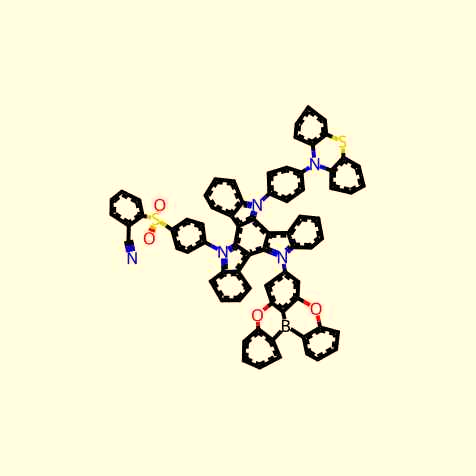 N#Cc1ccccc1S(=O)(=O)c1ccc(-n2c3ccccc3c3c2c2c4ccccc4n(-c4ccc(N5c6ccccc6Sc6ccccc65)cc4)c2c2c4ccccc4n(-c4cc5c6c(c4)Oc4ccccc4B6c4ccccc4O5)c23)cc1